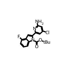 CC(C)(C)OC(=O)n1c(-c2cc(Cl)cc(N)n2)cc2c(F)cccc21